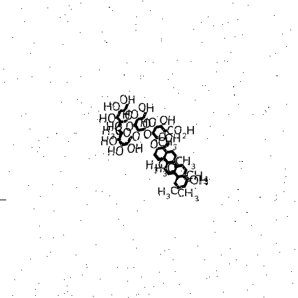 CC1OC(OC2C(OC3C(OC4CCC5(C)C(CCC6(C)C5CC=C5C7CC(C)(C)CC(O)C7(C)CCC56C)C4(C)CO)OC(C(=O)O)C(O)C3O)OC(CO)C(O)C2OC2OC(CO)C(O)C(O)C2O)C(O)C(O)C1O